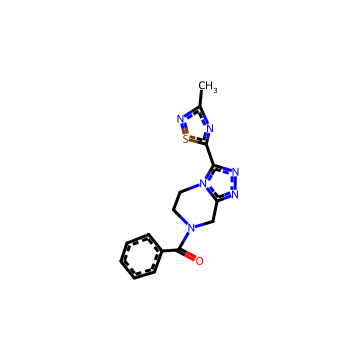 Cc1nsc(-c2nnc3n2CCN(C(=O)c2ccccc2)C3)n1